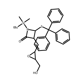 CC(C)(C)[Si](C)(C)N1C(=O)C(CC2OC2CO)C1SC(c1ccccc1)(c1ccccc1)c1ccccc1